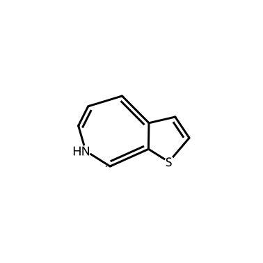 [C]1=c2sccc2=CC=CN1